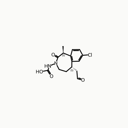 C[C@@H]1C(=O)N(NC(=O)O)CC[C@@H](CC=O)c2cc(Cl)ccc21